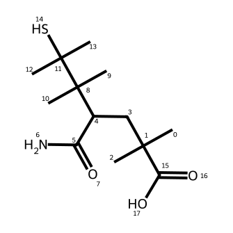 CC(C)(CC(C(N)=O)C(C)(C)C(C)(C)S)C(=O)O